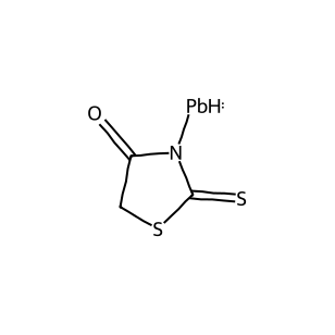 O=C1CSC(=S)[N]1[PbH]